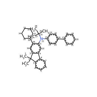 CC1(C)c2ccccc2-c2cc(N(c3ccc(-c4ccccc4)cc3)C(C)(C)C)c(C3CCCCC3)cc21